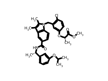 COC(=O)[C@H](C)Oc1ccc(Cl)c(Cn2c(C)c(C)c3cc(C(=O)N[C@@H](C)c4cccc(OC(C)C)c4)ccc32)c1